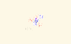 CC(C)(C)c1ccc(N2c3cc4c(cc3B3c5c2cc2c(oc6ccccc62)c5-c2ccc(N(c5ccccc5)c5ccccc5)c5c6c7ccccc7oc6n3c25)Oc2ccccc2O4)c(-c2ccccc2)c1